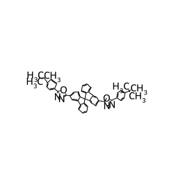 CC(C)(C)c1ccc(-c2nnc(-c3ccc4c(c3)-c3ccccc3C43c4ccccc4-c4cc(-c5nnc(-c6ccc(C(C)(C)C)cc6)o5)ccc43)o2)cc1